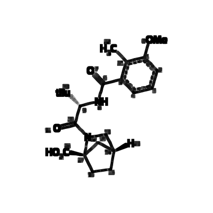 COc1cccc(C(=O)N[C@H](C(=O)N2C[C@@H]3CC[C@@]2(C(=O)O)C3)C(C)(C)C)c1C